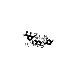 Cc1nc(N[C@H](C)c2cccc(C(F)F)c2F)c2c(C)c(NC(=O)c3ccc(F)cc3N)c(=O)oc2n1